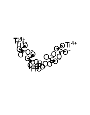 O=S(=O)([O-])[O-].O=S(=O)([O-])[O-].O=S(=O)([O-])[O-].O=S(=O)([O-])[O-].[OH-].[OH-].[OH-].[OH-].[Ti+4].[Ti+4].[Ti+4]